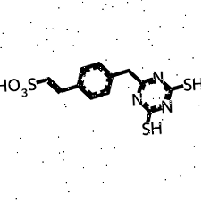 O=S(=O)(O)C=Cc1ccc(Cc2nc(S)nc(S)n2)cc1